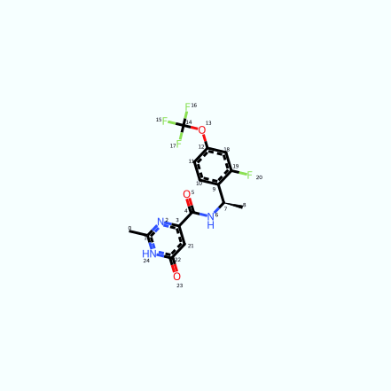 Cc1nc(C(=O)N[C@H](C)c2ccc(OC(F)(F)F)cc2F)cc(=O)[nH]1